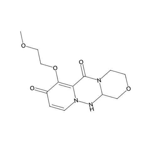 COCCOc1c2n(ccc1=O)NC1COCCN1C2=O